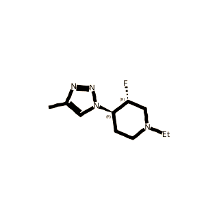 CCN1CC[C@@H](n2cc(C)nn2)[C@H](F)C1